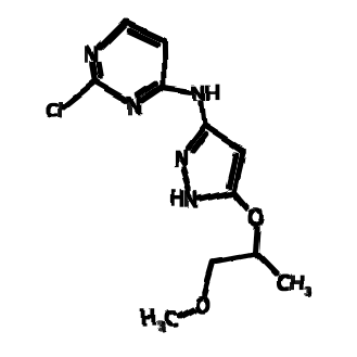 COCC(C)Oc1cc(Nc2ccnc(Cl)n2)n[nH]1